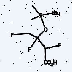 CC(C)(C)[Si](C)(C)OC(F)(CF)C(F)C(=O)O